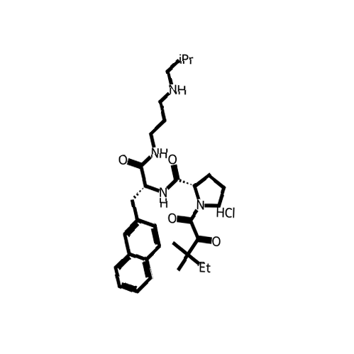 CCC(C)(C)C(=O)C(=O)N1CCC[C@H]1C(=O)N[C@H](Cc1ccc2ccccc2c1)C(=O)NCCCNCC(C)C.Cl